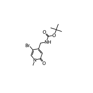 Cn1cc(Br)c(CNC(=O)OC(C)(C)C)cc1=O